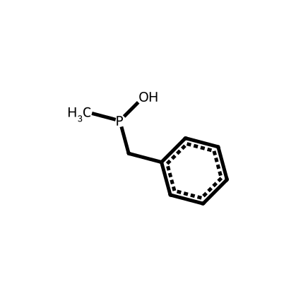 CP(O)Cc1ccccc1